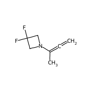 C=C=C(C)N1CC(F)(F)C1